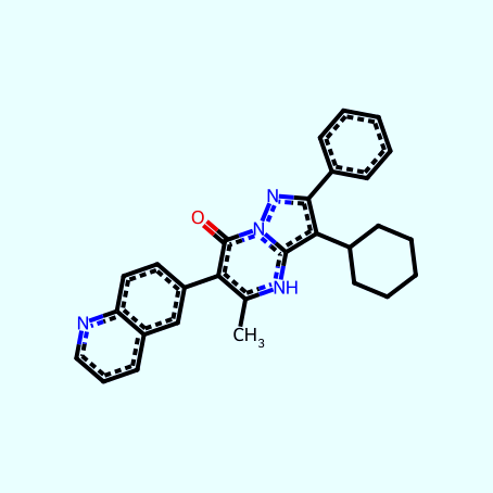 Cc1[nH]c2c(C3CCCCC3)c(-c3ccccc3)nn2c(=O)c1-c1ccc2ncccc2c1